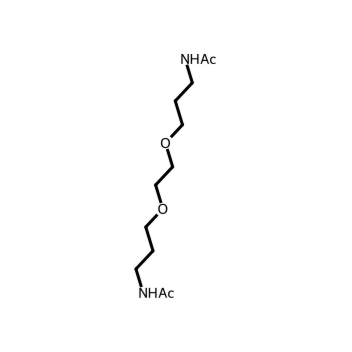 CC(=O)NCCCOCCOCCCNC(C)=O